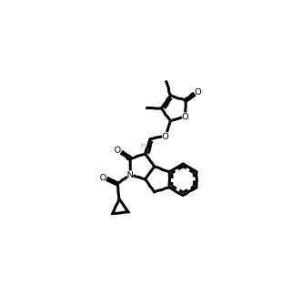 CC1=C(C)C(O/C=C2/C(=O)N(C(=O)C3CC3)C3Cc4ccccc4C23)OC1=O